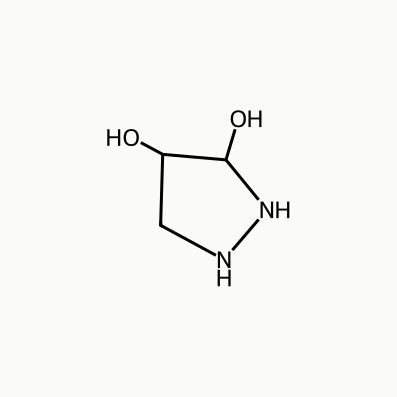 OC1CNNC1O